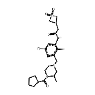 Cc1c(CN2CCN(C(=O)C3CCCC3)C(C)C2)cc(Cl)cc1NC(=O)CC1CS(=O)(=O)C1